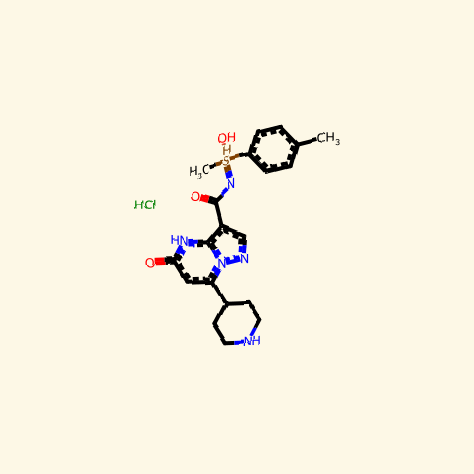 Cc1ccc([SH](C)(O)=NC(=O)c2cnn3c(C4CCNCC4)cc(=O)[nH]c23)cc1.Cl